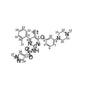 CCc1c(Oc2cccc(N3CCN(C)CC3)c2)nc(NS(=O)(=O)c2cnn(C)c2)nc1-c1ccccc1C